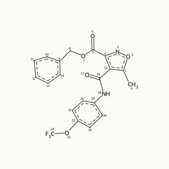 Cc1onc(C(=O)OCc2ccccc2)c1C(=O)Nc1ccc(OC(F)(F)F)cc1